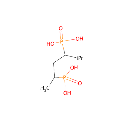 CC(C)C(CC(C)P(=O)(O)O)P(=O)(O)O